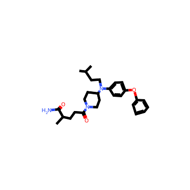 CC(C)CCN(c1ccc(Oc2ccccc2)cc1)C1CCN(C(=O)[CH]CC(C)C(N)=O)CC1